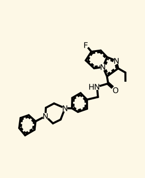 CCc1nc2cc(F)ccn2c1C(=O)NCc1ccc(N2CCN(c3ccccc3)CC2)cc1